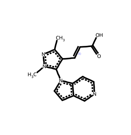 Cc1nn(C)c(-n2ccc3cnccc32)c1/C=C/C(=O)O